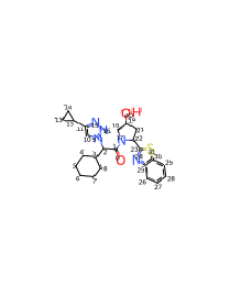 O=C(C(C1CCCCC1)n1cc(C2CC2)nn1)N1CC(O)CC1c1nc2ccccc2s1